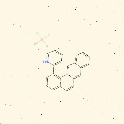 F[B-](F)(F)F.c1ccc(-c2cccc3ccc4cc5ccccc5cc4c23)[nH+]c1